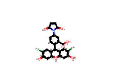 O=C(O)c1cc(N2C(=O)C=CC2=O)ccc1-c1c2cc(F)c(=O)cc-2oc2cc(O)c(F)cc12